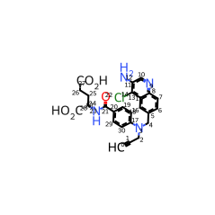 C#CCN(Cc1ccc2ncc(N)c(Cl)c2c1)c1ccc(C(=O)N[C@@H](CCC(=O)O)C(=O)O)cc1